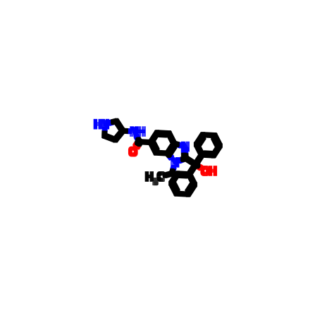 CCn1c(C(O)(c2ccccc2)c2ccccc2)nc2ccc(C(=O)NC3CCNC3)cc21